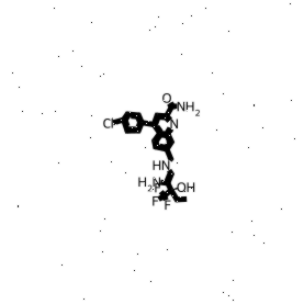 CC[C@](O)(/C(N)=C/NCc1ccc2c(-c3ccc(Cl)cc3)cc(C(N)=O)nc2c1)C(F)(F)F